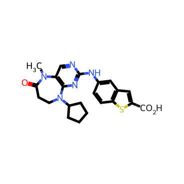 CN1C(=O)CCN(C2CCCC2)c2nc(Nc3ccc4sc(C(=O)O)cc4c3)ncc21